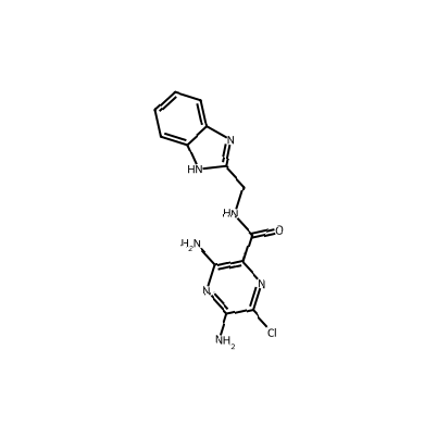 Nc1nc(N)c(C(=O)NCc2nc3ccccc3[nH]2)nc1Cl